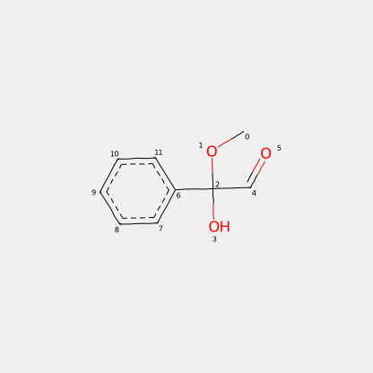 COC(O)(C=O)c1ccccc1